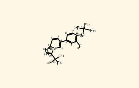 Fc1cc(-c2ccc3nnc(C(F)(F)F)n3c2)ccc1OC(F)(F)F